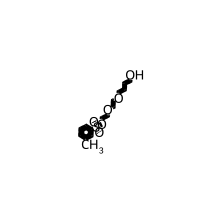 Cc1cccc(S(=O)(=O)OCCOCCOCCCCO)c1